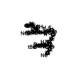 Cc1ccc(C(=O)N2CCC(c3ccc(C#N)cc3)CC2)cc1NC(=O)c1ccc(CCN2CCCC2)nc1.Cc1ccc(C(=O)N2CCC(c3ccc(C#N)cc3)CC2)cc1NC(=O)c1ccc(N2CCN(C(=O)OC(C)(C)C)CC2)nc1.Cc1ccc(C(=O)N2CCC(c3ccc(C#N)cc3)CC2)cc1NC(=O)c1ccnc(N2CCOCC2)c1